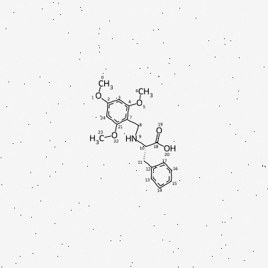 COc1cc(OC)c(CN[C@@H](Cc2ccccc2)C(=O)O)c(OC)c1